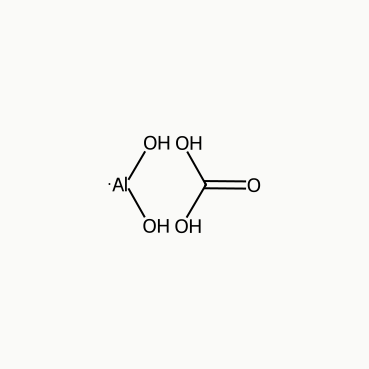 O=C(O)O.[OH][Al][OH]